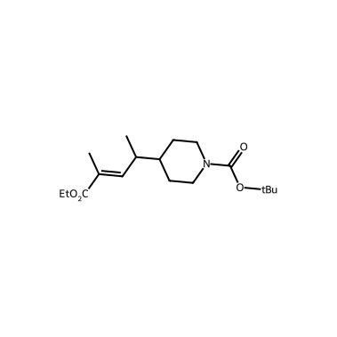 CCOC(=O)/C(C)=C/C(C)C1CCN(C(=O)OC(C)(C)C)CC1